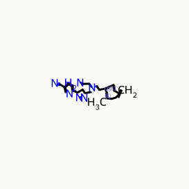 C=C1/C=C/C=C(CCN(CCN)CC2=NN=C(c3ccc(C#N)cn3)C2)\C=C(/C)CC1